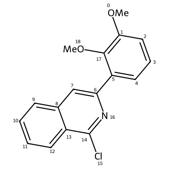 COc1cccc(-c2cc3ccccc3c(Cl)n2)c1OC